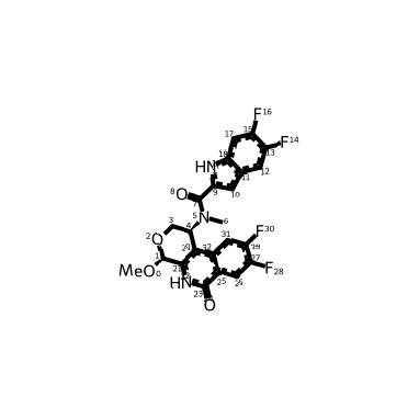 CO[C@H]1OC[C@@H](N(C)C(=O)c2cc3cc(F)c(F)cc3[nH]2)c2c1[nH]c(=O)c1cc(F)c(F)cc21